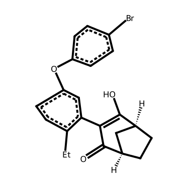 CCc1ccc(Oc2ccc(Br)cc2)cc1C1=C(O)[C@H]2CC[C@H](C2)C1=O